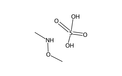 CNOC.O=S(=O)(O)O